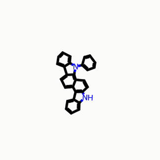 c1ccc(-n2c3ccccc3c3ccc4c(ccc5[nH]c6ccccc6c54)c32)cc1